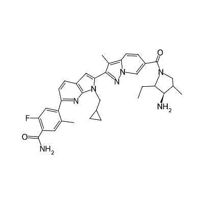 CCC1[C@H](N)C(C)CN1C(=O)c1ccc2c(C)c(-c3cc4ccc(-c5cc(F)c(C(N)=O)cc5C)nc4n3CC3CC3)nn2c1